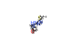 CCc1csc(-c2cc(NCCn3c(C)cc4c(OC)cccc43)ncn2)c1